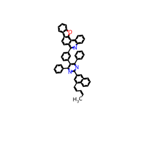 C/C=C\C=C/c1cc(-c2nc(-c3ccccc3)c(-c3cccc(-c4nc5ccccc5c5c4ccc4c6ccccc6oc45)c3)c(-c3ccccc3)n2)cc2ccccc12